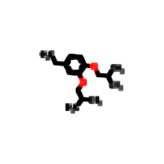 [CH2]Cc1ccc(OCC(C)C)c(OCC(C)C)c1